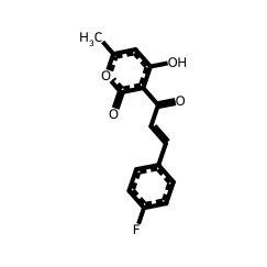 Cc1cc(O)c(C(=O)/C=C/c2ccc(F)cc2)c(=O)o1